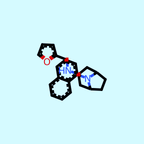 c1coc(CNC2CC3CCC(C2)N3c2cccc3ccccc23)c1